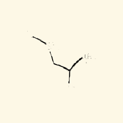 CC(C)(C)C(C[SiH2]Cl)C(C)(C)C